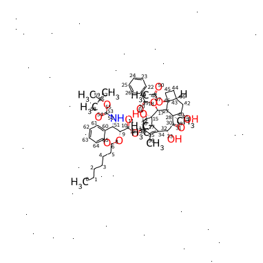 CCCCCCC(=O)O[C@@H](C(=O)O[C@H]1C[C@@]2(O)[C@@H](OC(=O)c3ccccc3)C3[C@](C)(C(=O)[C@H](O)C(=C1C)C2(C)C)[C@@H](O)C[C@H]1CC[C@@]31OC(C)=O)[C@@H](NC(=O)OC(C)(C)C)c1ccccc1